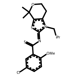 COc1ccc(Cl)cc1C(=S)N=c1sc2c(n1CC(C)C)CCOC2(C)C